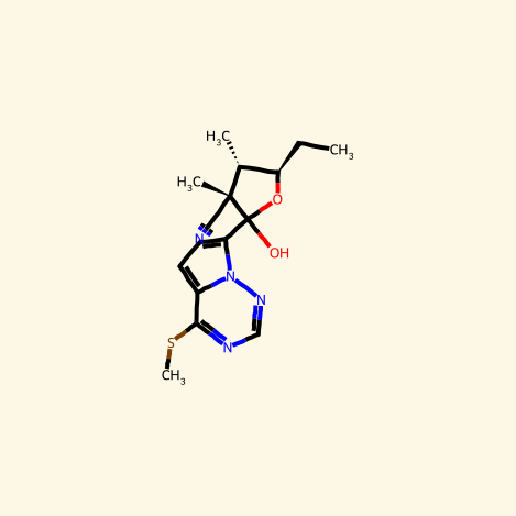 CC[C@H]1OC(O)(c2ccc3c(SC)ncnn23)[C@](C)(C#N)[C@@H]1C